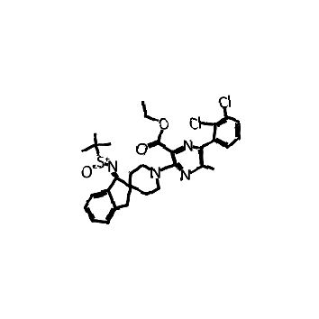 CCOC(=O)c1nc(-c2cccc(Cl)c2Cl)c(C)nc1N1CCC2(CC1)Cc1ccccc1C2=N[S@+]([O-])C(C)(C)C